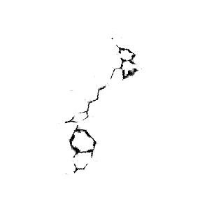 COc1ccc2nccc(CN[C@H](O)C[C@H](O)C3CN(c4ccc5c(c4)NC(=O)CS5)C(=O)O3)c2n1